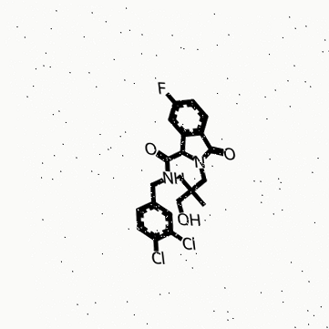 CC(C)(CO)CN1C(=O)c2ccc(F)cc2C1C(=O)NCc1ccc(Cl)c(Cl)c1